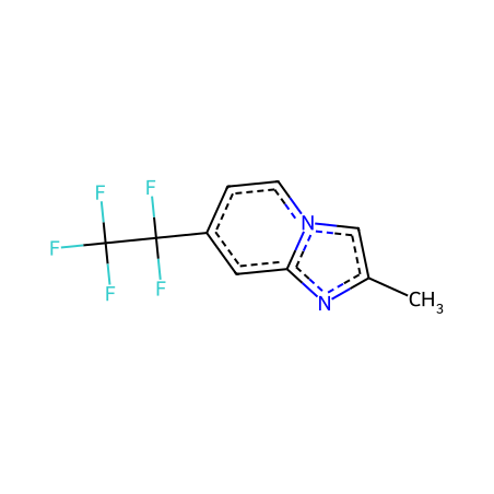 Cc1cn2ccc(C(F)(F)C(F)(F)F)cc2n1